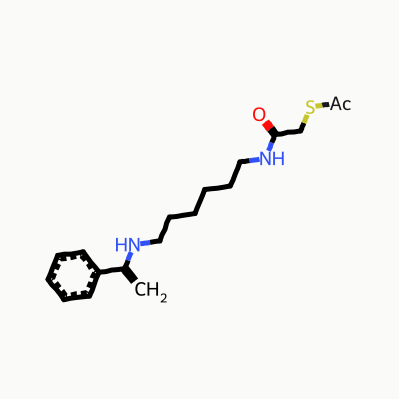 C=C(NCCCCCCNC(=O)CSC(C)=O)c1ccccc1